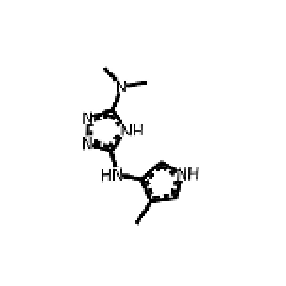 Cc1c[nH]cc1Nc1nnc(N(C)C)[nH]1